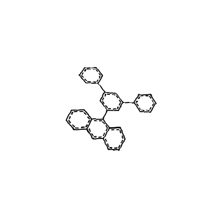 c1ccc(-c2cc(-c3ccccc3)cc(-c3c4ccccc4cc4ccccc34)c2)cc1